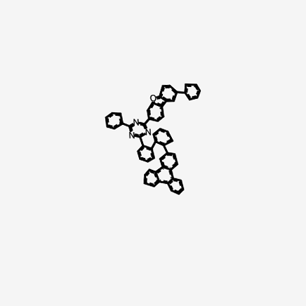 c1ccc(-c2ccc3oc4cc(-c5nc(-c6ccccc6)nc(-c6ccccc6-c6ccccc6-c6ccc7c8ccccc8c8ccccc8c7c6)n5)ccc4c3c2)cc1